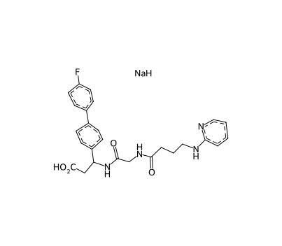 O=C(O)CC(NC(=O)CNC(=O)CCCNc1ccccn1)c1ccc(-c2ccc(F)cc2)cc1.[NaH]